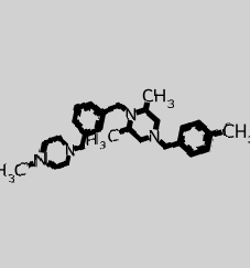 Cc1ccc(CN2CC(C)N(Cc3cccc(CN4CCN(C)CC4)c3)C(C)C2)cc1